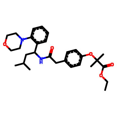 CCOC(=O)C(C)(C)Oc1ccc(CC(=O)NC(CC(C)C)c2ccccc2N2CCOCC2)cc1